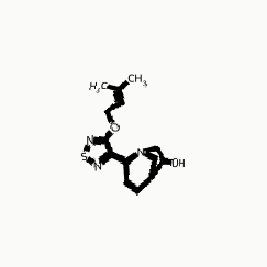 CC(C)=CCOc1nsnc1C1CCC2CN1CC2O